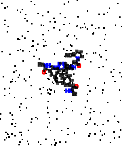 CCNC(=O)c1ccc2c(c1)CCc1cc(C(=O)NCC)ccc1C2(C[C@@H](C)NCC(=O)N1CCCC1C#N)c1nnn[nH]1